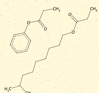 CCC(=O)OCCCCCCCC(C)C.CCC(=O)Oc1ccccc1